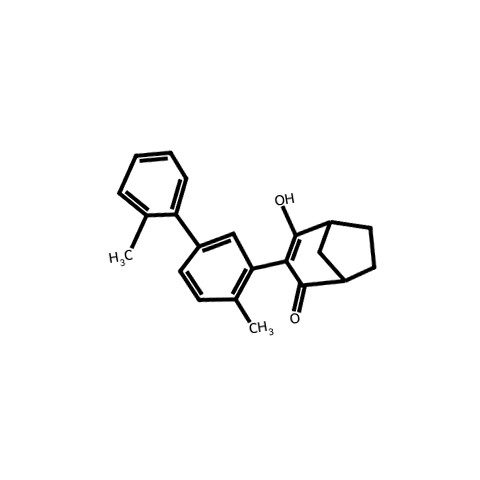 Cc1ccc(-c2ccccc2C)cc1C1=C(O)C2CCC(C2)C1=O